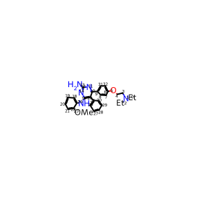 CCN(CC)CCOc1ccc(-c2nc(N)nc(Nc3ccccc3OC)c2-c2ccccc2)cc1